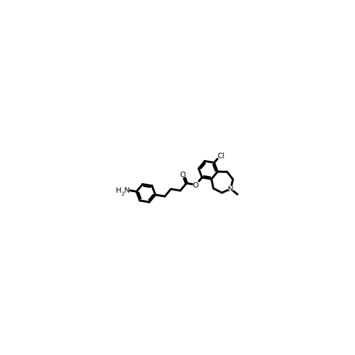 CN1CCc2c(Cl)ccc(OC(=O)CCCc3ccc(N)cc3)c2CC1